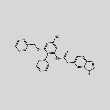 O=C(Cc1ccc2cc[nH]c2c1)Nc1cc([N+](=O)[O-])cc(OCc2ccccc2)c1-c1ccccc1